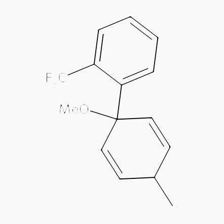 [CH2]C1C=CC(OC)(c2ccccc2C(F)(F)F)C=C1